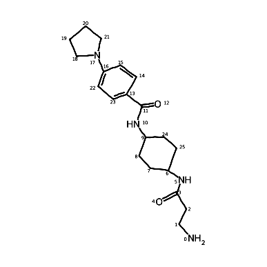 NCCC(=O)NC1CCC(NC(=O)c2ccc(N3CCCC3)cc2)CC1